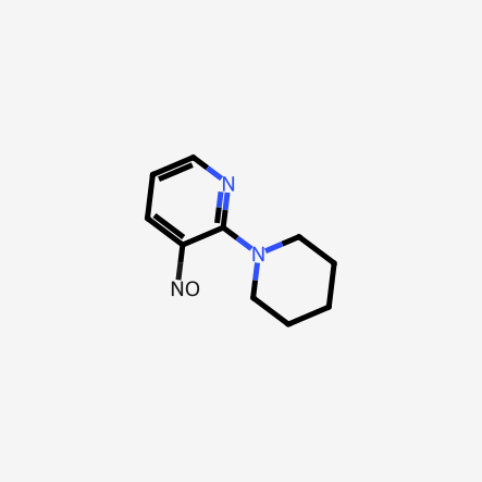 O=Nc1cccnc1N1CCCCC1